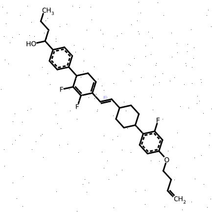 C=CCCOc1ccc(C2CCC(/C=C/C3=CCC(c4ccc(C(O)CCC)cc4)C(F)=C3F)CC2)c(F)c1